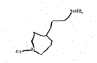 CCN1CCC(CCNC)C1